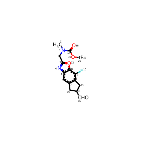 CN(Cc1nc2cc3c(c(F)c2o1)CC(C=O)C3)C(=O)OC(C)(C)C